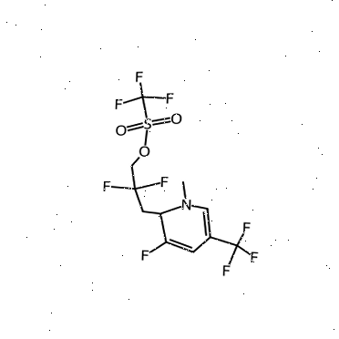 CN1C=C(C(F)(F)F)C=C(F)C1CC(F)(F)COS(=O)(=O)C(F)(F)F